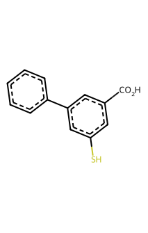 O=C(O)c1cc(S)cc(-c2ccccc2)c1